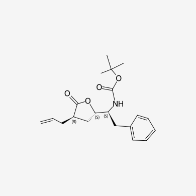 C=CC[C@@H]1C[C@@H]([C@H](Cc2ccccc2)NC(=O)OC(C)(C)C)OC1=O